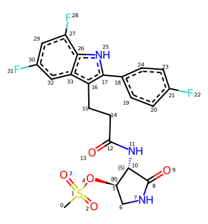 CS(=O)(=O)O[C@@H]1CNC(=O)[C@H]1NC(=O)CCc1c(-c2ccc(F)cc2)[nH]c2c(F)cc(F)cc12